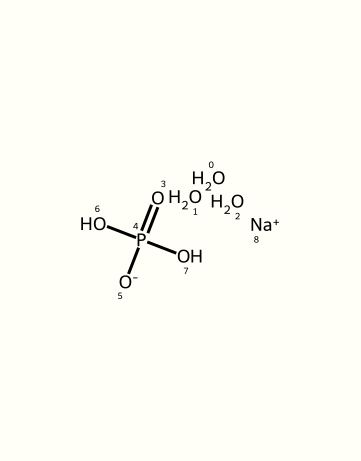 O.O.O.O=P([O-])(O)O.[Na+]